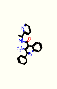 CC(NC(=O)c1c(N)c(-c2ccccc2)nc2ccccc12)c1ccccn1